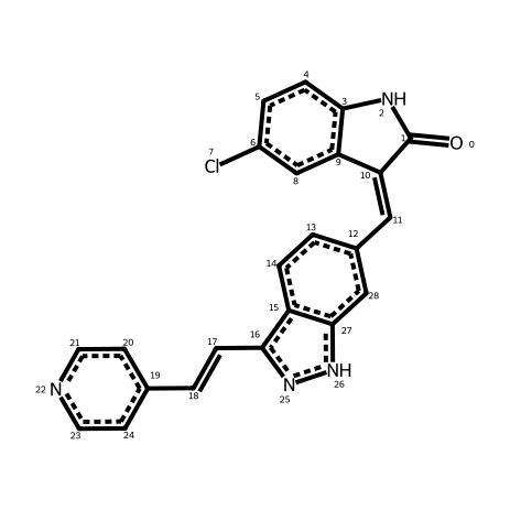 O=C1Nc2ccc(Cl)cc2/C1=C\c1ccc2c(/C=C/c3ccncc3)n[nH]c2c1